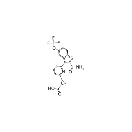 NC(=O)c1sc2ccc(OC(F)(F)F)cc2c1-c1cccc(C2CC2C(=O)O)n1